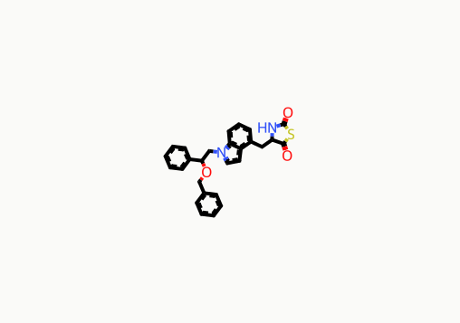 O=C1NC(Cc2cccc3c2ccn3CC(OCc2ccccc2)c2ccccc2)C(=O)S1